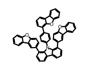 c1ccc2c(c1)oc1ccc(-c3cccc4c5cccc(-c6ccc7oc8ccccc8c7c6)c5n(-c5ccc(-c6cccc7c6oc6ccccc67)cc5)c34)cc12